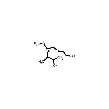 CC(O)C(C)O.COCCOCCO